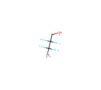 O[C]C(F)(F)C(F)(F)C(F)(F)F